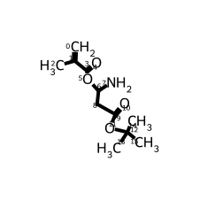 C=C(C)C(=O)OC(N)CC(=O)OC(C)(C)C